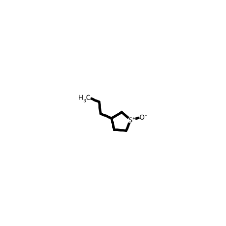 CCCC1CC[S+]([O-])C1